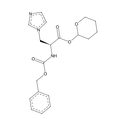 O=C(N[C@@H](Cn1ccnc1)C(=O)OC1CCCCO1)OCc1ccccc1